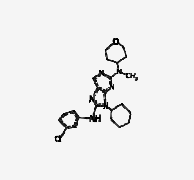 CN(c1ncc2nc(Nc3cccc(Cl)c3)n(C3CCCCC3)c2n1)C1CCOCC1